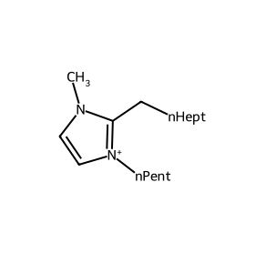 CCCCCCCCc1n(C)cc[n+]1CCCCC